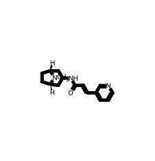 CN1[C@@H]2CC[C@@H]1CC(NC(=O)C=Cc1cccnc1)C2